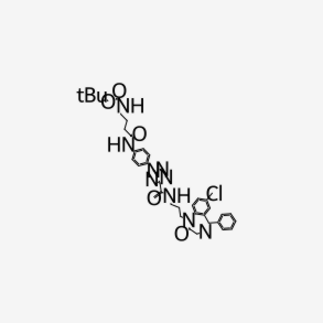 CC(C)(C)OC(=O)NCCCC(=O)Nc1ccc(-n2nnc(C(=O)NCCCN3C(=O)CN=C(c4ccccc4)c4cc(Cl)ccc43)n2)cc1